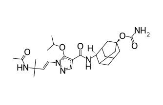 CC(=O)NC(C)(C)/C=C/n1ncc(C(=O)N[C@H]2C3CC4CC2C[C@@](OC(N)=O)(C4)C3)c1OC(C)C